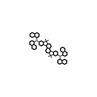 CC1(C)c2cc(N(c3cccc4ccccc34)c3cccc4ccccc34)ccc2-c2c1ccc1c3c(ccc21)C(C)(C)c1cc(N(c2cccc4ccccc24)c2cccc4ccccc24)ccc1-3